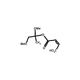 COCC(C)(OC)OC(=O)/C=C\C(=O)O